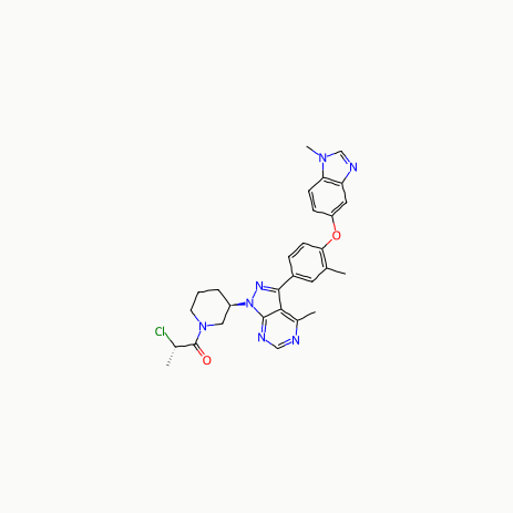 Cc1cc(-c2nn([C@@H]3CCCN(C(=O)[C@H](C)Cl)C3)c3ncnc(C)c23)ccc1Oc1ccc2c(c1)ncn2C